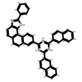 c1ccc(-c2nc3ccc4ccc5cc(-c6nc(-c7ccc8ccccc8c7)nc(-c7ccc8ccccc8c7)n6)ccc5c4c3o2)cc1